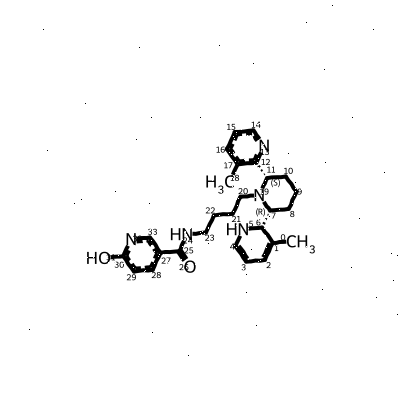 CC1=CC=CNC1[C@H]1CCC[C@@H](c2ncccc2C)N1CCCCNC(=O)c1ccc(O)nc1